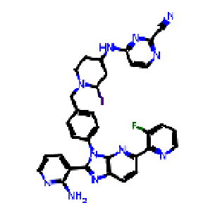 N#Cc1nccc(NC2CCN(Cc3ccc(-n4c(-c5cccnc5N)nc5ccc(-c6ncccc6F)nc54)cc3)C(I)C2)n1